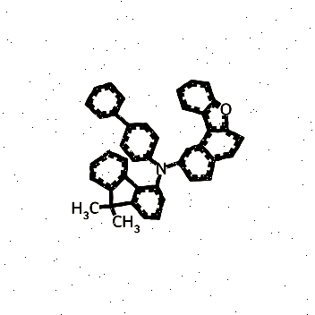 CC1(C)c2ccccc2-c2c(N(c3ccc(-c4ccccc4)cc3)c3ccc4ccc5oc6ccccc6c5c4c3)cccc21